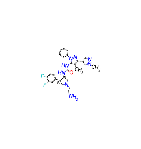 Cc1c(-c2cnn(C)c2)nn(-c2ccccc2)c1NC(=O)N[C@@H]1CN(CCN)C[C@H]1c1ccc(F)c(F)c1